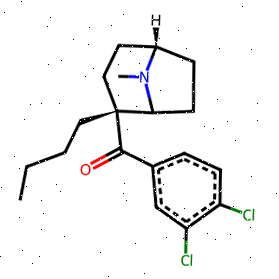 CCCC[C@@]1(C(=O)c2ccc(Cl)c(Cl)c2)CC[C@@H]2CCC1N2C